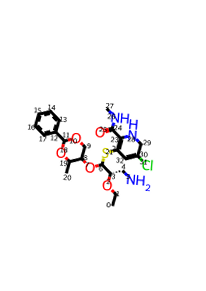 CCO[C@@H](CN)C(OC1COC(c2ccccc2)OC1C)SC1=C(C(=O)NC)NCC(Cl)=C1